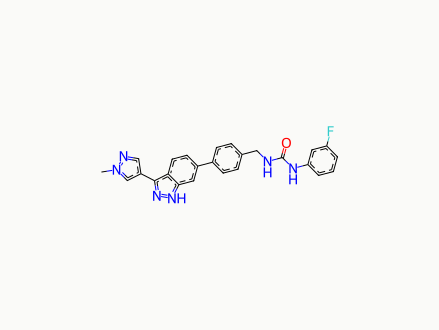 Cn1cc(-c2n[nH]c3cc(-c4ccc(CNC(=O)Nc5cccc(F)c5)cc4)ccc23)cn1